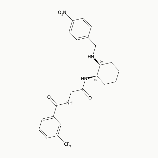 O=C(CNC(=O)c1cccc(C(F)(F)F)c1)N[C@@H]1CCCC[C@@H]1NCc1ccc([N+](=O)[O-])cc1